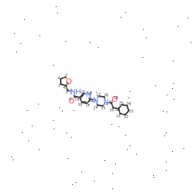 O=C(NCC1CCCO1)c1ccc(N2CCN(C(=O)CC3CCCCC3)CC2)nc1